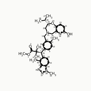 COC(=O)C(C)(C)[C@@H](c1ccc(C)c(CN2Cc3nc(O)ccc3O[C@@H](C(C)C)C2)c1)c1ccc2c(nnn2C)c1C